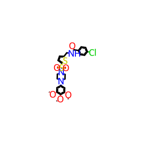 COc1cc(N2CCN(S(=O)(=O)c3ccc(CNC(=O)c4ccc(Cl)cc4)s3)CC2)cc(OC)c1OC